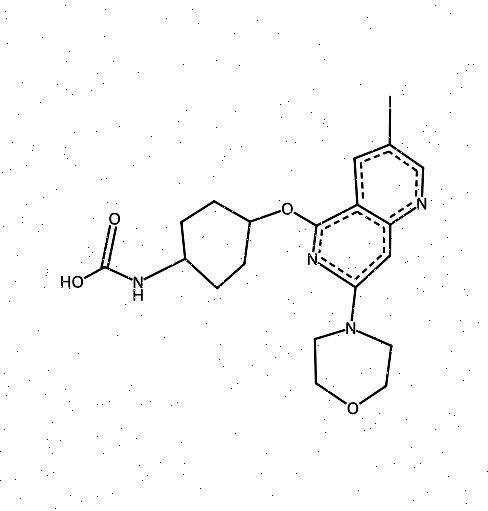 O=C(O)NC1CCC(Oc2nc(N3CCOCC3)cc3ncc(I)cc23)CC1